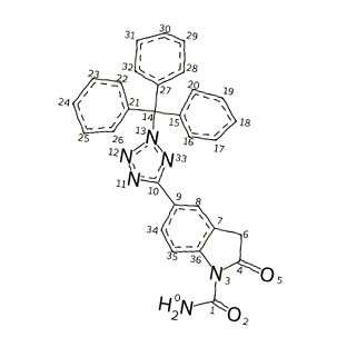 NC(=O)N1C(=O)Cc2cc(-c3nnn(C(c4ccccc4)(c4ccccc4)c4ccccc4)n3)ccc21